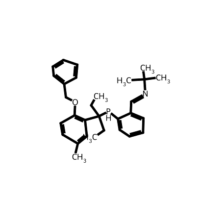 CCC(CC)(Pc1ccccc1/C=N/C(C)(C)C)c1cc(C)ccc1OCc1ccccc1